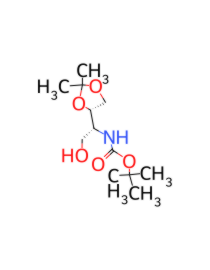 CC(C)(C)OC(=O)N[C@H](CO)[C@H]1COC(C)(C)O1